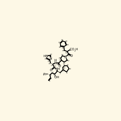 C=C[C@@H](C[C@H](O)[C@H](CC1CCCCC1)NC(=O)[C@H](Cc1c[nH]cn1)NC(=O)C1CCN(C(=O)C(Cc2ccccc2)C(=O)O)CC1)C(C)C